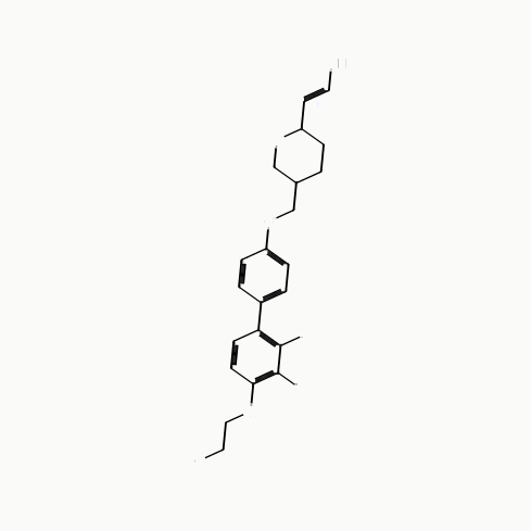 C/C=C/C1CCC(COc2ccc(-c3ccc(OCCC)c(F)c3F)cc2)CO1